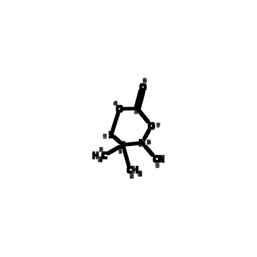 CS1(C)SOC(=O)ON1C#N